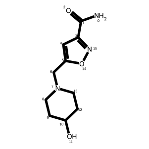 NC(=O)c1cc(CN2CCC(O)CC2)on1